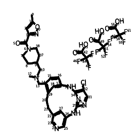 Cc1cc(C(=O)N2CCC(CN(C)Cc3ccc4cc3CCc3cncc(c3)Nc3ncc(Cl)c(n3)N4)CC2)no1.O=C(O)C(F)(F)F.O=C(O)C(F)(F)F.O=C(O)C(F)(F)F